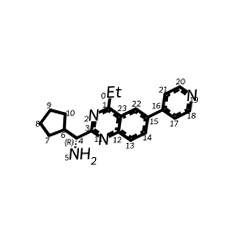 CCc1nc([C@H](N)C2CCCC2)nc2ccc(-c3ccncc3)cc12